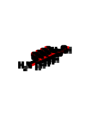 C=CCOC(=O)NCCCCCC(=O)N(CCNC(=O)CN(CCNC(=O)CN(CCNC(=O)CN(CCNC(=O)CN(CCNC(=O)CCCCCCCCCCN)C(=O)CCCCCNC(=O)OCC=C)C(=O)CCCCCNC(=O)OCC=C)C(=O)CCCCCNC(=O)OCC=C)C(=O)CCCCCNC(=O)OCC=C)CC(C)=O